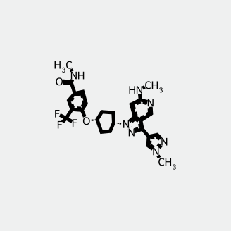 CNC(=O)c1ccc(O[C@H]2CC[C@@H](n3nc(-c4cnn(C)c4)c4cnc(NC)cc43)CC2)c(C(F)(F)F)c1